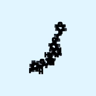 O=C(Cn1cc(Nc2ncnc3cc(OCCCN4CCOCC4)ccc23)cn1)Nc1cccc(F)c1